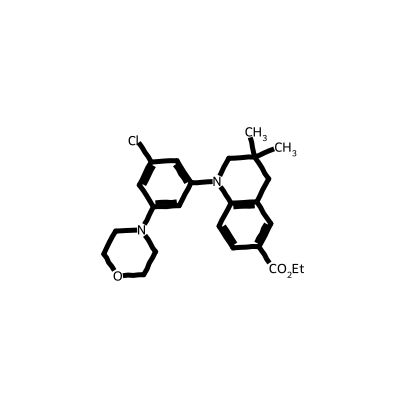 CCOC(=O)c1ccc2c(c1)CC(C)(C)CN2c1cc(Cl)cc(N2CCOCC2)c1